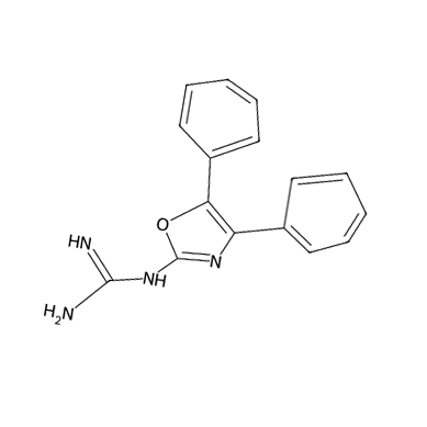 N=C(N)Nc1nc(-c2ccccc2)c(-c2ccccc2)o1